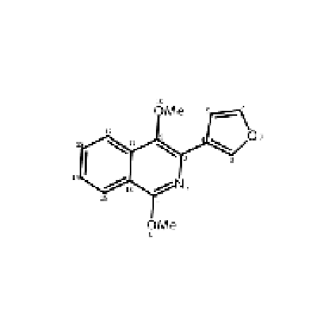 COc1nc(-c2ccoc2)c(OC)c2ccccc12